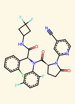 N#Cc1ccnc(N2C(=O)CC[C@H]2C(=O)N(c2cc(F)ccc2F)[C@H](C(=O)NC2CC(F)(F)C2)c2ccccc2Cl)c1